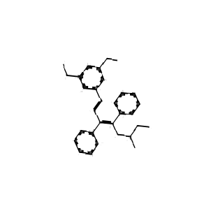 CCc1cc(C=CC(=C(CC(C)CC)c2ccccc2)c2ccccc2)cc(CC)c1